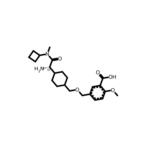 COc1ccc(COCC2CCC([C@H](N)C(=O)N(C)C3CCC3)CC2)cc1C(=O)O